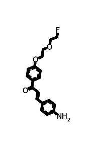 Nc1ccc(C=CC(=O)c2ccc(OCCOCCF)cc2)cc1